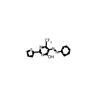 Oc1nc(-c2cccs2)nc(C(F)(F)F)c1/N=N/c1ccccc1